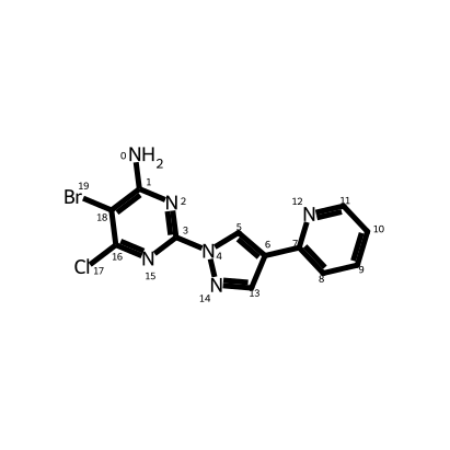 Nc1nc(-n2cc(-c3ccccn3)cn2)nc(Cl)c1Br